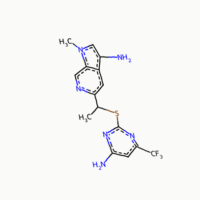 CC(Sc1nc(N)cc(C(F)(F)F)n1)c1cc2c(N)cn(C)c2cn1